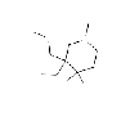 CCC1(COC)CN(C)CCC1(F)F